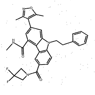 CNC(=O)c1cc(-c2c(C)noc2C)cc2c1c1cc(C(=O)N3CC(F)(F)C3)ccc1n2CCc1ccccc1